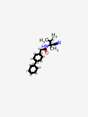 CC(C)C(C)(C#N)NC(=O)Cc1ccc(-c2ccccc2)cc1